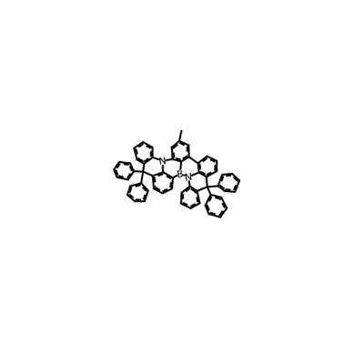 Cc1cc2c3c(c1)N1c4ccccc4C(c4ccccc4)(c4ccccc4)c4cccc(c41)B3N1c3ccccc3C(c3ccccc3)(c3ccccc3)c3cccc-2c31